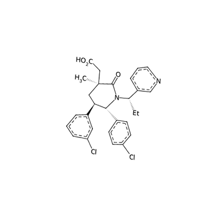 CC[C@@H](c1cccnc1)N1C(=O)[C@](C)(CC(=O)O)C[C@H](c2cccc(Cl)c2)[C@H]1c1ccc(Cl)cc1